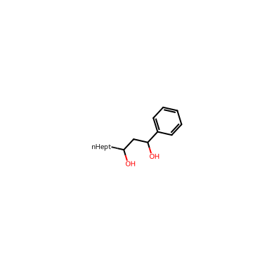 CCCCCCCC(O)CC(O)c1ccccc1